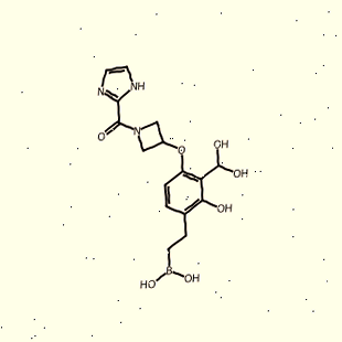 O=C(c1ncc[nH]1)N1CC(Oc2ccc(CCB(O)O)c(O)c2C(O)O)C1